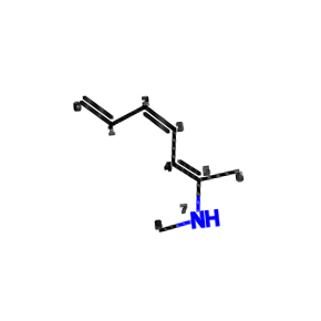 C=C/C=C\C=C(/C)NC